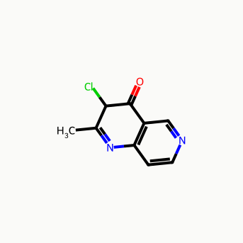 CC1=Nc2ccncc2C(=O)C1Cl